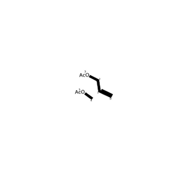 C=CCOC(C)=O.COC(C)=O